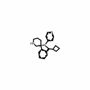 O=C(C1CCC1)N(c1ccncc1)[C@]1(c2ccccc2)CCCNC1